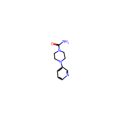 NC(=O)N1CCN(c2cccnc2)CC1